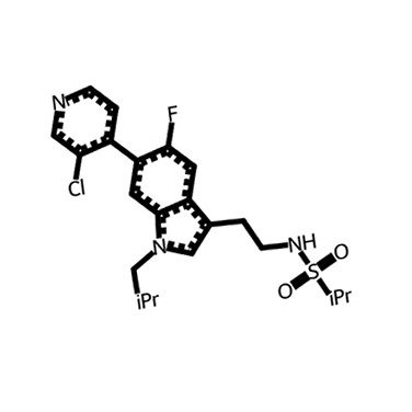 CC(C)Cn1cc(CCNS(=O)(=O)C(C)C)c2cc(F)c(-c3ccncc3Cl)cc21